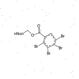 CCCCCCCCCCOC(=O)c1cc(Br)c(Br)c(Br)c1Br